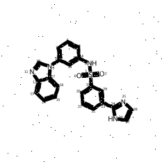 O=S(=O)(Nc1cccc(-n2cnc3ccccc32)c1)c1cccc(-c2ncc[nH]2)c1